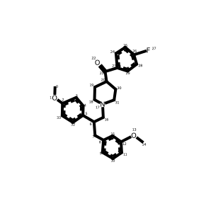 COc1ccc(C(Cc2cccc(OC)c2)CN2CCC(C(=O)c3ccc(F)cc3)CC2)cc1